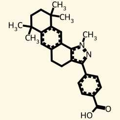 Cn1nc(-c2ccc(C(=O)O)cc2)c2c1-c1cc3c(cc1CC2)C(C)(C)CCC3(C)C